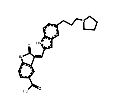 O=C1Nc2ccc(C(=O)O)cc2C1=Cc1cc2cc(CCCN3CCCC3)ccc2[nH]1